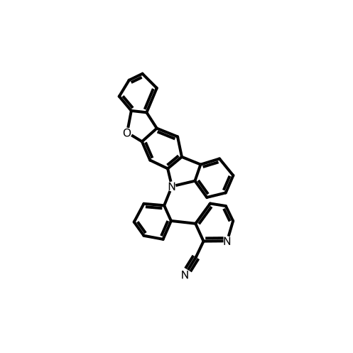 N#Cc1ncccc1-c1ccccc1-n1c2ccccc2c2cc3c(cc21)oc1ccccc13